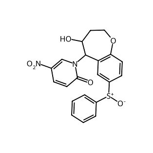 O=c1ccc([N+](=O)[O-])cn1C1c2cc([S+]([O-])c3ccccc3)ccc2OCCC1O